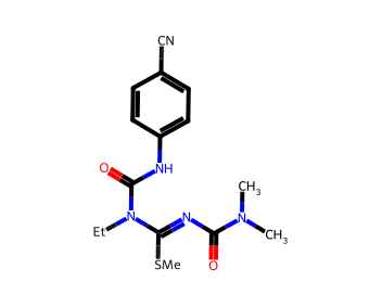 CCN(C(=O)Nc1ccc(C#N)cc1)C(=NC(=O)N(C)C)SC